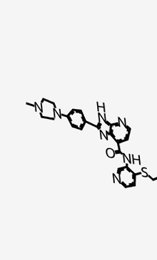 CCSc1ccncc1NC(=O)c1ccnc2[nH]c(-c3ccc(N4CCN(C)CC4)cc3)nc12